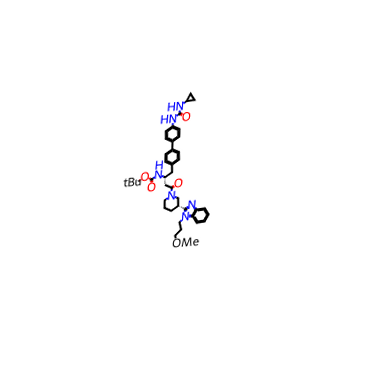 COCCCn1c([C@@H]2CCCN(C(=O)C[C@@H](Cc3ccc(-c4ccc(NC(=O)NC5CC5)cc4)cc3)NC(=O)OC(C)(C)C)C2)nc2ccccc21